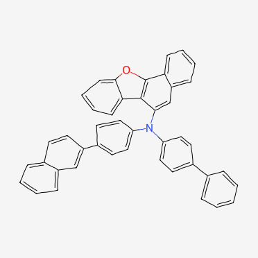 c1ccc(-c2ccc(N(c3ccc(-c4ccc5ccccc5c4)cc3)c3cc4ccccc4c4oc5ccccc5c34)cc2)cc1